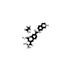 CCCN(CCC)C(=O)C1=Cc2ccc(C(=O)Nc3ccc4c(c3)CNCC4)cc2N=C(N)C1.O=C(O)C(F)(F)F